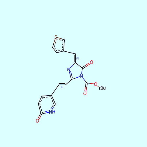 CC(C)(C)OC(=O)N1C(=O)/C(=C/c2ccsc2)N=C1/C=C/c1ccc(=O)[nH]c1